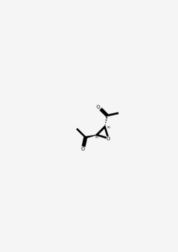 CC(=O)[C@@H]1O[C@H]1C(C)=O